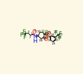 O=C(CCC(F)(F)F)NC1CCC(F)(S(=O)(=O)c2cccc(C(F)(F)F)c2)CC1